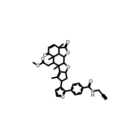 C#CCNC(=O)c1ccc(-c2occc2C2CC3OC4C5OC(=O)C6(C)C=CC(=O)C(C)(C56)C(CC(=O)OC)C4(C)C3=C2C)cc1